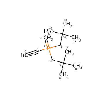 C#CP(=C)(CC(C)(C)C)CC(C)(C)C